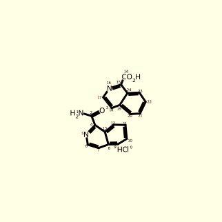 Cl.NC(=O)c1nccc2ccccc12.O=C(O)c1nccc2ccccc12